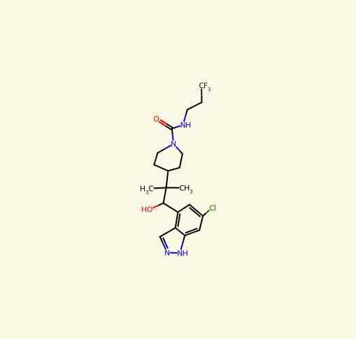 CC(C)(C1CCN(C(=O)NCCC(F)(F)F)CC1)C(O)c1cc(Cl)cc2[nH]ncc12